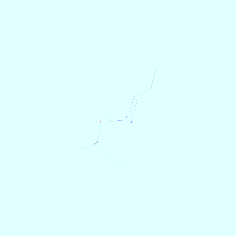 CCC=NOC(C)=O